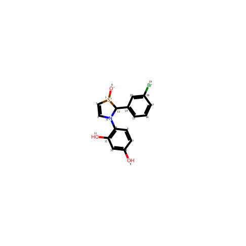 [O-][S+]1C=CN(c2ccc(O)cc2O)C1c1cccc(Br)c1